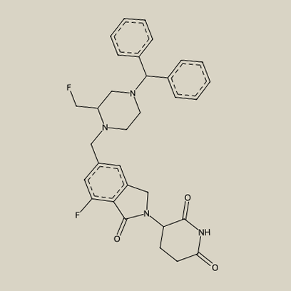 O=C1CCC(N2Cc3cc(CN4CCN(C(c5ccccc5)c5ccccc5)CC4CF)cc(F)c3C2=O)C(=O)N1